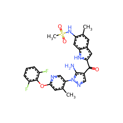 Cc1cc2cc(C(=O)c3cnn(-c4cnc(Oc5c(F)cccc5F)cc4C)c3N)[nH]c2cc1NS(C)(=O)=O